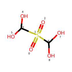 O=S(=O)(C(O)O)C(O)O